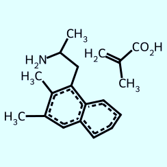 C=C(C)C(=O)O.Cc1cc2ccccc2c(CC(C)N)c1C